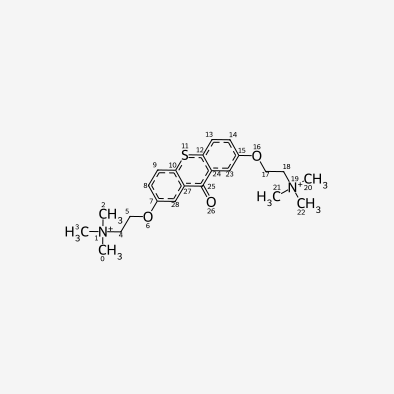 C[N+](C)(C)CCOc1ccc2sc3ccc(OCC[N+](C)(C)C)cc3c(=O)c2c1